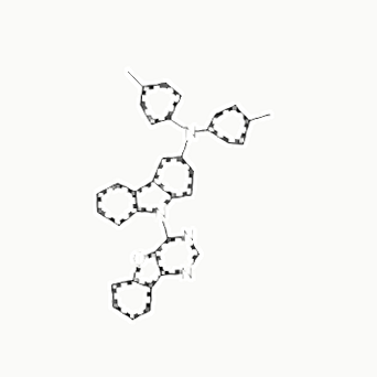 Cc1ccc(N(c2ccc(C)cc2)c2ccc3c(c2)c2ccccc2n3-c2ncnc3c2oc2ccccc23)cc1